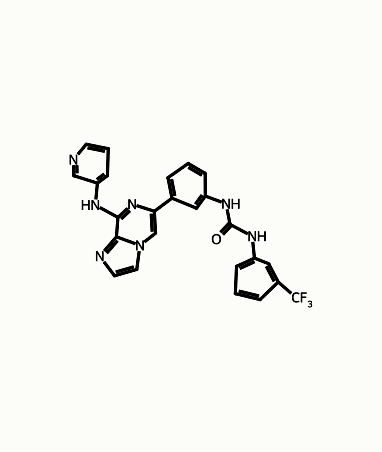 O=C(Nc1cccc(-c2cn3ccnc3c(Nc3cccnc3)n2)c1)Nc1cccc(C(F)(F)F)c1